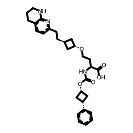 O=C(NC(CCO[C@H]1C[C@H](CCc2ccc3c(n2)NCCC3)C1)C(=O)O)O[C@H]1C[C@@H](c2ccccc2)C1